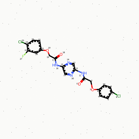 O=C(COc1ccc(Cl)cc1)Nc1cnc(NC(=O)COc2ccc(Cl)c(F)c2)cn1